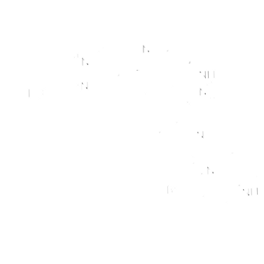 CCn1cc(-c2cc3c(-c4ccc(Br)c(N5CCNCC5)n4)n[nH]c3cn2)cn1